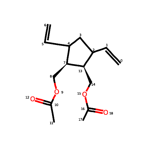 C=CC1CC(C=C)[C@H](COC(C)=O)[C@@H]1COC(C)=O